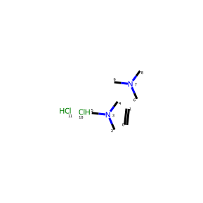 C=C.CN(C)C.CN(C)C.Cl.Cl